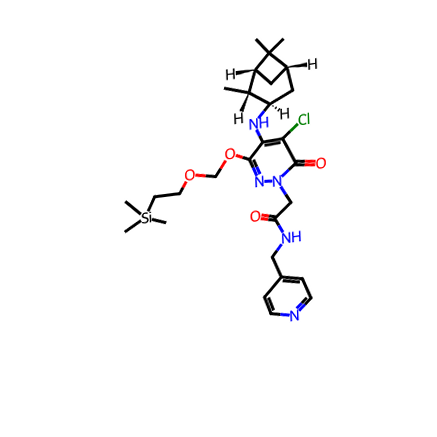 C[C@@H]1[C@H]2C[C@@H](C[C@H]1Nc1c(OCOCC[Si](C)(C)C)nn(CC(=O)NCc3ccncc3)c(=O)c1Cl)C2(C)C